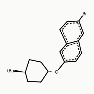 CC(C)(C)[C@H]1CC[C@H](Oc2ccc3cc(Br)ccc3c2)CC1